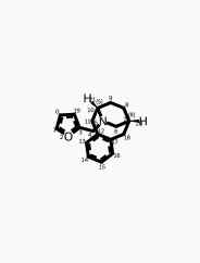 c1coc(CN2C[C@@H]3CC[C@H]2Cc2ccccc2C3)c1